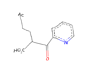 CC(=O)CCC(C(=O)O)C(=O)c1ccccn1